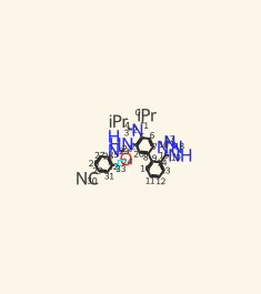 CC(C)CN(CC(C)C)c1ccc(-c2ccccc2-c2nnn[nH]2)cc1NC(=O)Nc1ccc(C#N)cc1F